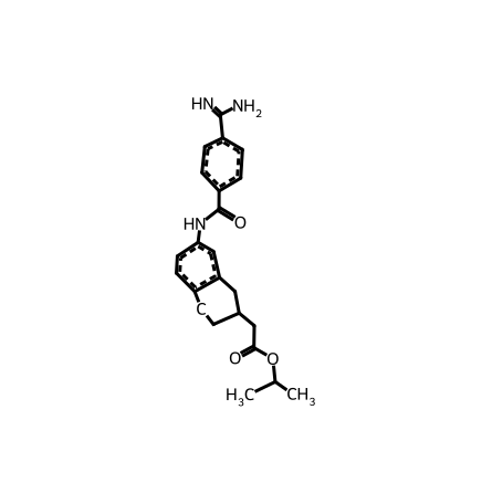 CC(C)OC(=O)CC1CCc2ccc(NC(=O)c3ccc(C(=N)N)cc3)cc2C1